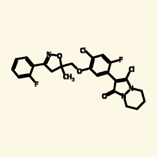 CC1(COc2cc(-c3c(Cl)n4n(c3=O)CCCC4)c(F)cc2Cl)CC(c2ccccc2F)=NO1